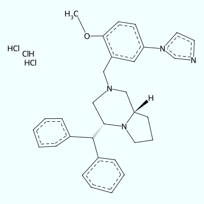 COc1ccc(-n2ccnc2)cc1CN1C[C@@H]2CCCN2[C@H](C(c2ccccc2)c2ccccc2)C1.Cl.Cl.Cl